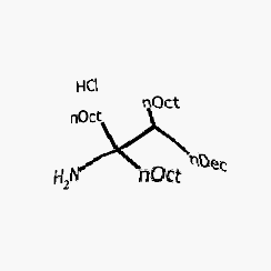 CCCCCCCCCCC(CCCCCCCC)C(N)(CCCCCCCC)CCCCCCCC.Cl